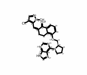 Cn1ncc(Cl)c1/C=C1/CCc2c(OC[C@H]3CCCN3c3ncnc4[nH]cnc34)cccc2C1=O